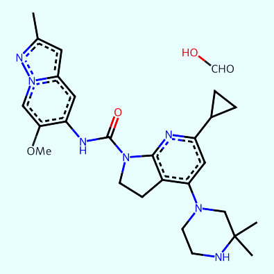 COc1cn2nc(C)cc2cc1NC(=O)N1CCc2c(N3CCNC(C)(C)C3)cc(C3CC3)nc21.O=CO